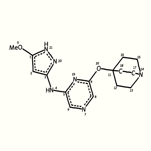 COc1cc(Nc2cncc(OC34CCN(CC3)CC4)n2)n[nH]1